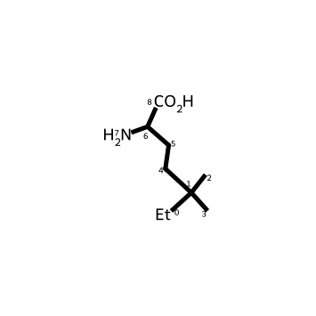 CCC(C)(C)CCC(N)C(=O)O